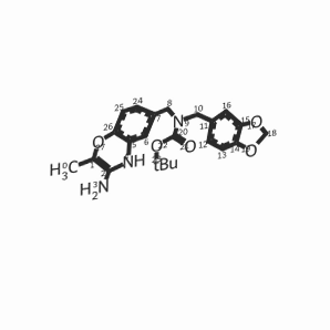 CC1=C(N)Nc2cc(CN(Cc3ccc4c(c3)OCO4)C(=O)OC(C)(C)C)ccc2O1